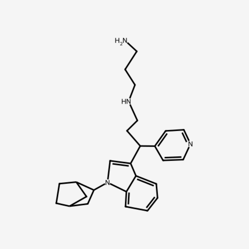 NCCCNCCC(c1ccncc1)c1cn(C2CC3CCC2C3)c2ccccc12